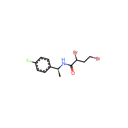 C[C@H](NC(=O)C(Br)CCBr)c1ccc(F)cc1